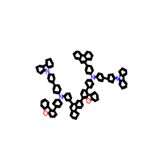 c1cc(-c2cc3ccccc3c3ccc(-c4ccc(-c5ccc(N(c6ccc(-c7ccc(-n8c9ccccc9c9ccccc98)cc7)cc6)c6ccc(-c7cc8ccccc8c8ccccc78)cc6)cc5)c5c4oc4ccccc45)cc23)cc(N(c2ccc(-c3ccc(-n4c5ccccc5c5ccccc54)cc3)cc2)c2ccc(-c3cccc4oc5ccccc5c34)cc2)c1